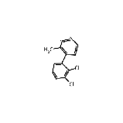 Cc1[c]nccc1-c1cccc(Cl)c1Cl